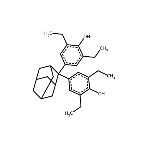 CCc1cc(C2(c3cc(CC)c(O)c(CC)c3)C3CC4CC(C3)CC2C4)cc(CC)c1O